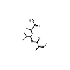 CC=C(C)C(=O)OC(C=C(C)C(=O)O)C(C)C